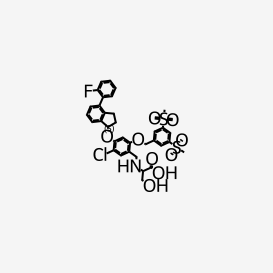 CS(=O)(=O)c1cc(COc2cc(O[C@H]3CCc4c(-c5ccccc5F)cccc43)c(Cl)cc2CNC(CO)C(=O)O)cc(S(C)(=O)=O)c1